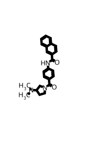 CN(C)C1CCN(C(=O)c2ccc(NC(=O)c3ccc4ccccc4c3)cc2)C1